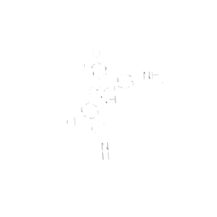 COc1cc(-c2cccc(CN)c2)c(S(=O)(=O)Nc2ccc(Cl)c(O[C@]3(C)CCNC3)c2)cc1OC